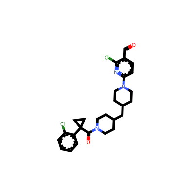 O=Cc1ccc(N2CCC(CC3CCN(C(=O)C4(c5ccccc5Cl)CC4)CC3)CC2)nc1Cl